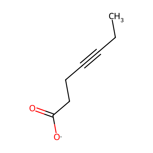 CCC#CCCC([O])=O